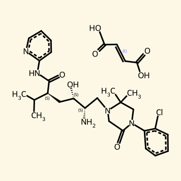 CC(C)[C@H](C[C@H](O)[C@@H](N)CN1CC(=O)N(c2ccccc2Cl)CC1(C)C)C(=O)Nc1ccccn1.O=C(O)/C=C/C(=O)O